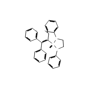 CCOC(=O)CC(=C(c1ccccc1)c1ccccc1)P1(=S)N(c2ccccc2)CCN1c1ccccc1